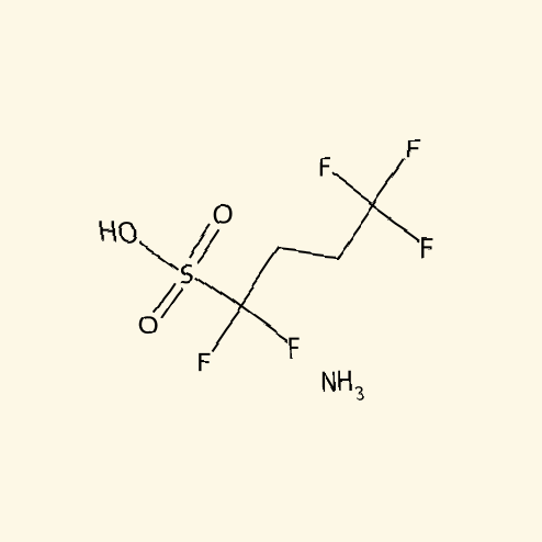 N.O=S(=O)(O)C(F)(F)CCC(F)(F)F